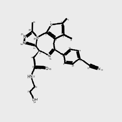 Cc1sc2c(c1C)C(c1ccc(C#N)cc1)=N[C@@H](CC(=O)NCCO)c1nnc(C)n1-2